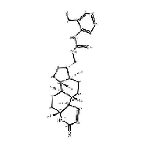 CCc1ccccc1NC(=O)NC[C@H]1CC[C@H]2[C@@H]3CC[C@H]4NC(=O)C=C[C@]4(C)[C@H]3CC[C@]12C